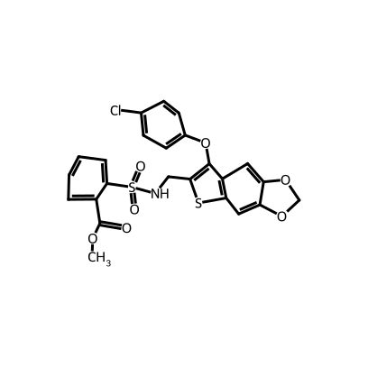 COC(=O)c1ccccc1S(=O)(=O)NCc1sc2cc3c(cc2c1Oc1ccc(Cl)cc1)OCO3